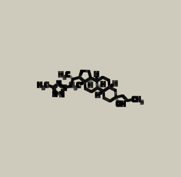 CCC[C@@]1(O)CC[C@H]2[C@H](CC[C@@H]3[C@@H]2CC[C@]2(C)[C@@H]([C@@H](C)Cn4nnc(C)n4)CC[C@@H]32)C1